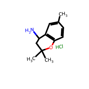 Cc1ccc2c(c1)C(N)CC(C)(C)O2.Cl